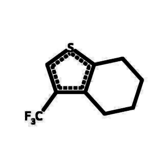 FC(F)(F)c1csc2c1CCCC2